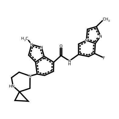 Cc1cn2cc(NC(=O)c3ccc(N4CCNC5(CC5)C4)c4cn(C)nc34)cc(F)c2n1